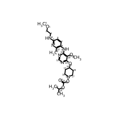 COCCNc1ccc(Nc2ncnc(OC3CCN(OC(=O)OC(C)C)CC3)c2OC)c(C)n1